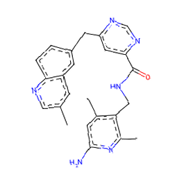 Cc1cnc2ccc(Cc3cc(C(=O)NCc4c(C)cc(N)nc4C)ncn3)cc2c1